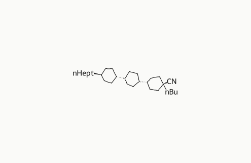 CCCCCCC[C@H]1CC[C@H](C2CCC([C@H]3CC[C@@](C#N)(CCCC)CC3)CC2)CC1